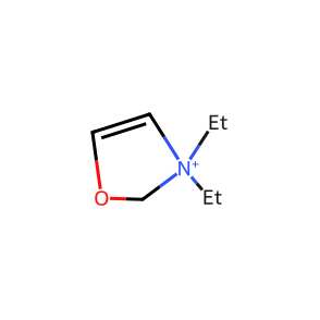 CC[N+]1(CC)C=COC1